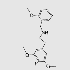 COc1ccccc1CNCCc1cc(OC)c(I)c(OC)c1